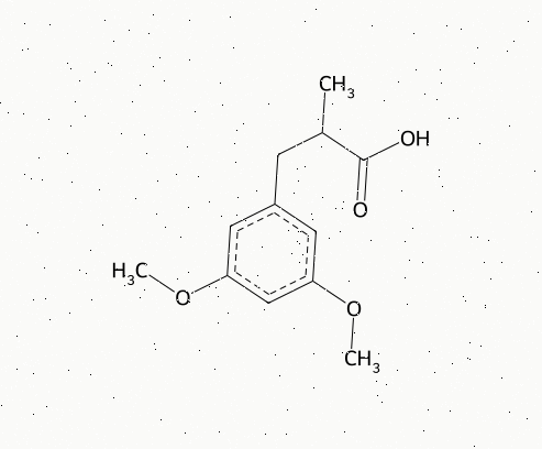 COc1cc(CC(C)C(=O)O)cc(OC)c1